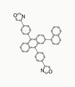 c1ccc2c(-c3ccc4c(-c5ccc(-c6cocn6)cc5)c5ccccc5c(-c5ccc(-c6cocn6)cc5)c4c3)cccc2c1